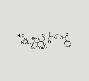 COc1cnc(-n2cnc(C)n2)c2[nH]cc(C(=O)C(=O)C(=O)NC3C4CN(C(=O)c5ccccc5)CC43)c12